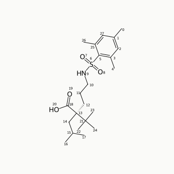 Cc1cc(C)c(S(=O)(=O)NCCC[C@](CC(C)C)(C(=O)O)C(C)(C)C)c(C)c1